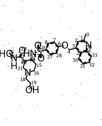 Cc1cc(COc2ccc(S(=O)(=O)N[C@@H]3CCN(CCO)C[C@H]3C(=O)NO)cc2)c2ccccc2n1